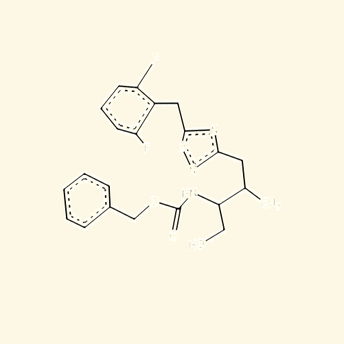 CC(Cc1noc(Cc2c(F)cccc2F)n1)C(CO)NC(=O)OCc1ccccc1